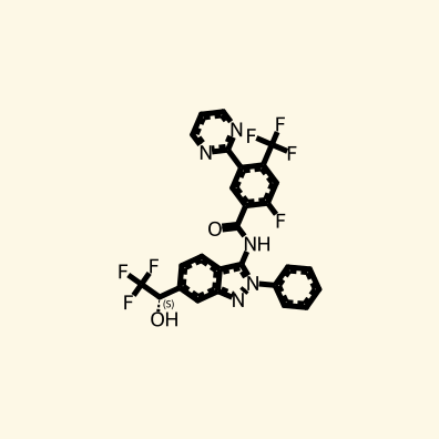 O=C(Nc1c2ccc([C@H](O)C(F)(F)F)cc2nn1-c1ccccc1)c1cc(-c2ncccn2)c(C(F)(F)F)cc1F